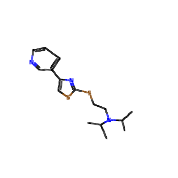 CC(C)N(CCSc1nc(-c2cccnc2)cs1)C(C)C